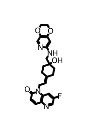 O=c1ccc2ncc(F)cc2n1CC=C1CCC(O)(CNc2cc3c(cn2)OCCO3)CC1